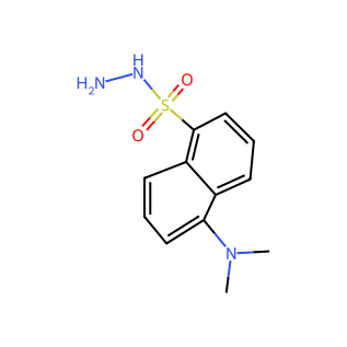 CN(C)c1cccc2c(S(=O)(=O)NN)cccc12